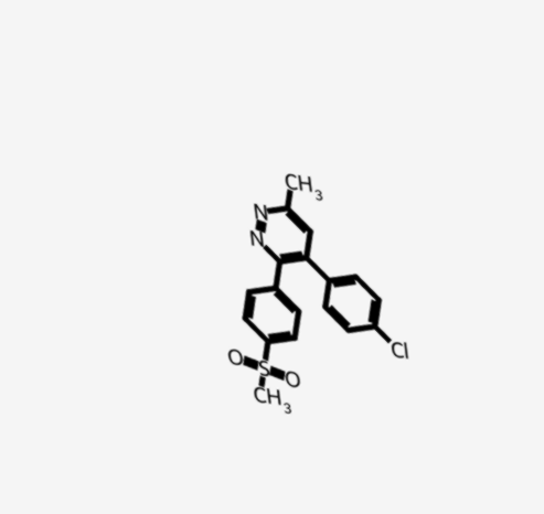 Cc1cc(-c2ccc(Cl)cc2)c(-c2ccc(S(C)(=O)=O)cc2)nn1